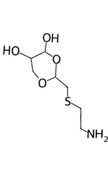 NCCSCC1OCC(O)C(O)O1